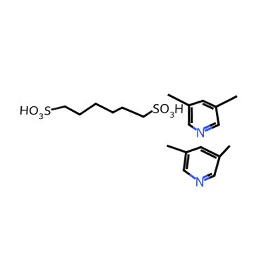 Cc1cncc(C)c1.Cc1cncc(C)c1.O=S(=O)(O)CCCCCCS(=O)(=O)O